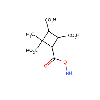 CC1(C(=O)O)C(C(=O)O)C(C(=O)O)C1C(=O)ON